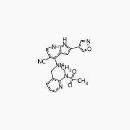 CN(c1ncccc1CNc1c(C#N)cnc2[nH]c(-c3cnoc3)cc12)S(C)(=O)=O